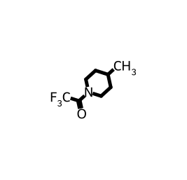 CC1CCN(C(=O)C(F)(F)F)CC1